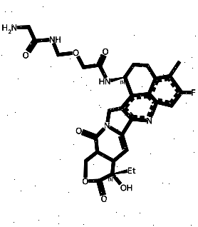 CC[C@@]1(O)C(=O)OCC2C(=O)N3Cc4c(nc5cc(F)c(C)c6c5c4[C@@H](NC(=O)COCNC(=O)CN)CC6)C3=CC21